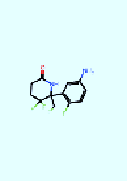 Nc1ccc(F)c(C2(CF)NC(=O)CCC2(F)F)c1